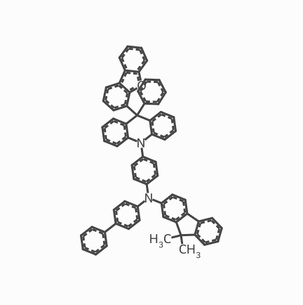 CC1(C)c2ccccc2-c2ccc(N(c3ccc(-c4ccccc4)cc3)c3ccc(N4c5ccccc5C(c5ccccc5)(c5cccc6c5oc5ccccc56)c5ccccc54)cc3)cc21